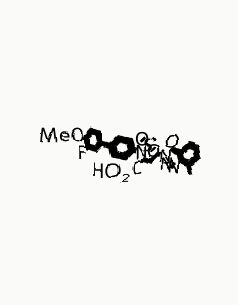 COc1ccc(-c2ccc(N([C@H](CCn3nnc4c(C)cccc4c3=O)C(=O)O)S(C)(=O)=O)cc2)cc1F